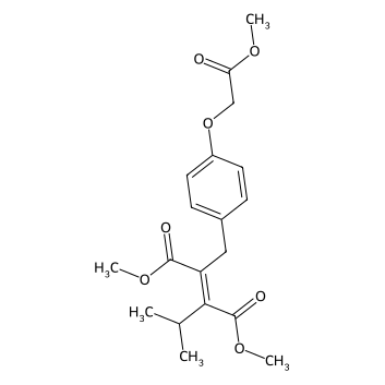 COC(=O)COc1ccc(CC(C(=O)OC)=C(C(=O)OC)C(C)C)cc1